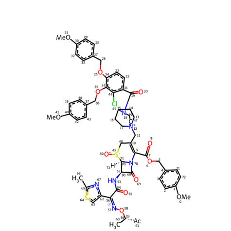 COc1ccc(COC(=O)C2=C(C[N+]34CCC(CC3)N(C(=O)c3ccc(OCc5ccc(OC)cc5)c(OCc5ccc(OC)cc5)c3Cl)CC4)C[S+]([O-])[C@@H]3[C@H](NC(=O)/C(=N\O[C@@H](C)C(C)=O)c4csc(C)n4)C(=O)N23)cc1